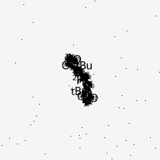 [2H]n1c(-c2ccc(C#CC(=O)C3CCCN3C(=O)OC(C)(C)C)cc2)ccc1-c1ccc(C#CC(=O)C2CCCN2C(=O)OC(C)(C)C)cc1